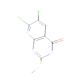 CSc1nc2nc(Cl)c(Cl)cc2c(=O)[nH]1